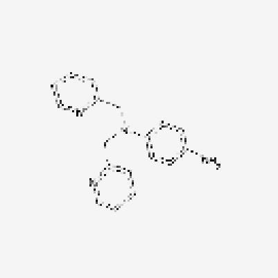 Nc1ccc(N(Cc2ccccn2)Cc2ccccn2)cc1